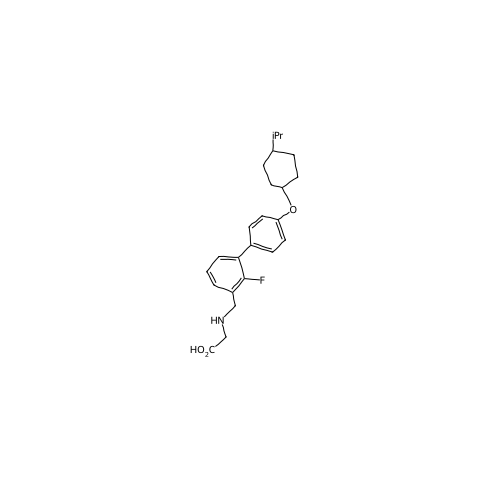 CC(C)C1CCC(Oc2ccc(-c3cccc(CNCC(=O)O)c3F)cc2)CC1